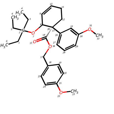 CC[Si](CC)(CC)OC1C=CCC[C@@]1(C(=O)OCc1ccc(OC)cc1)c1cccc(OC)c1